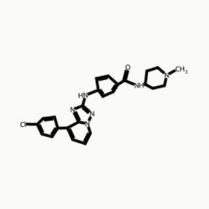 CN1CCC(NC(=O)c2ccc(Nc3nc4c(-c5ccc(Cl)cc5)cccn4n3)cc2)CC1